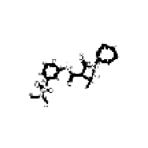 CC1=NN(c2ccccc2)C(=O)C1C(=O)Nc1cccc(S(=O)(=O)N(C)C)c1